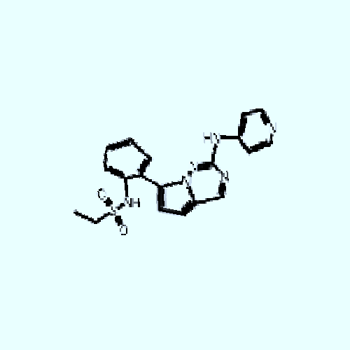 CCS(=O)(=O)Nc1ccccc1-c1ccc2cnc(Nc3ccncc3)nn12